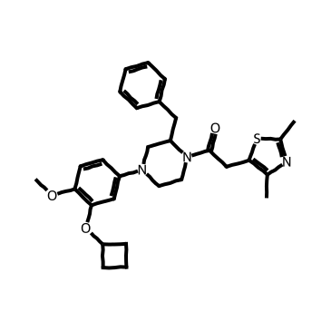 COc1ccc(N2CCN(C(=O)Cc3sc(C)nc3C)C(Cc3ccccc3)C2)cc1OC1CCC1